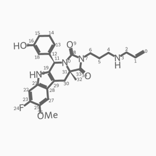 C=CCNCCCN1C(=O)N2[C@H](C3=CCCC(O)=C3)c3[nH]c4cc(F)c(OC)cc4c3C[C@@]2(C)C1=O